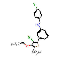 O=C(O)COc1c(C(=O)O)sc(-c2cccc(NCc3ccc(F)cc3)c2)c1Br